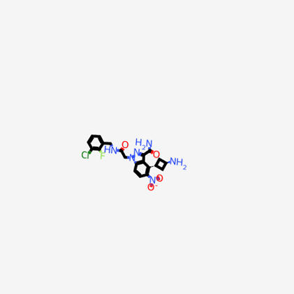 NC(=O)c1nn(CC(=O)NCc2cccc(Cl)c2F)c2ccc([N+](=O)[O-])c([C@H]3C[C@H](N)C3)c12